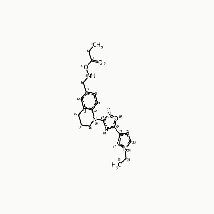 CCC(=O)ONCc1ccc2c(c1)CCCN2c1noc(-c2ccn(CC)n2)n1